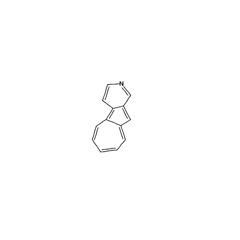 c1ccc2cc3cnccc3c-2cc1